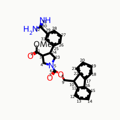 COC(=O)C1CN(C(=O)OCC2c3ccccc3-c3ccccc32)CC1c1cccc(C(=N)N)c1